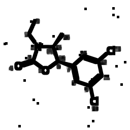 CCN1C(=O)O[C@H](c2cc(Cl)cc(Cl)c2)[C@@H]1C